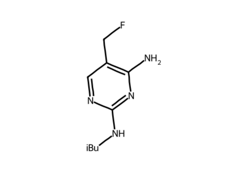 CCC(C)Nc1ncc(CF)c(N)n1